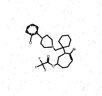 O=C(OC1CCC=C(Br)C(C2(CN3CCC(c4ccccc4Cl)CC3)CCCCC2)C1)C(F)(F)F